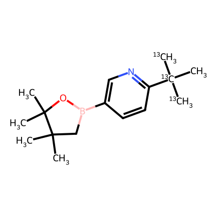 CC1(C)CB(c2ccc([13C](C)([13CH3])[13CH3])nc2)OC1(C)C